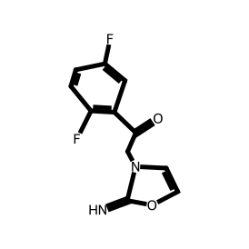 N=c1occn1CC(=O)c1cc(F)ccc1F